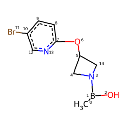 CB(O)N1CC(Oc2ccc(Br)cn2)C1